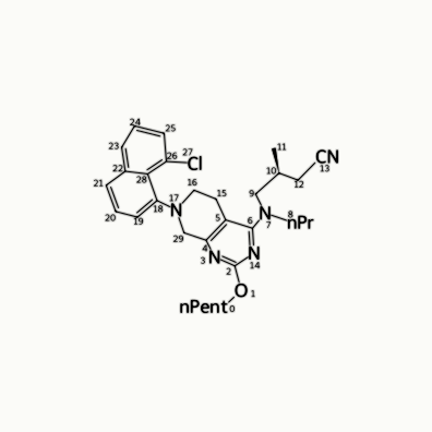 CCCCCOc1nc2c(c(N(CCC)C[C@@H](C)CC#N)n1)CCN(c1cccc3cccc(Cl)c13)C2